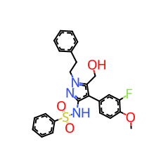 COc1ccc(-c2c(NS(=O)(=O)c3ccccc3)nn(CCc3ccccc3)c2CO)cc1F